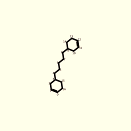 C1=CCC(CCCCCC2CC=CCC2)CC1